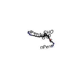 CCCCC/C=C\C/C=C\CCCCCCCCCCOC(=O)c1cc(C=O)cc(COC(=O)CCCCCCCCC/C=C\C/C=C\CCCCC)c1